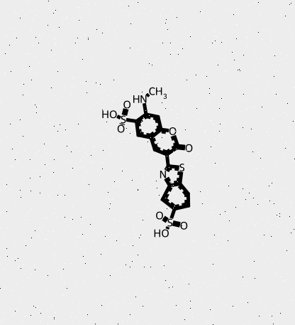 CNc1cc2oc(=O)c(-c3nc4cc(S(=O)(=O)O)ccc4s3)cc2cc1S(=O)(=O)O